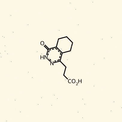 O=C(O)CCc1n[nH]c(=O)c2c1CCCC2